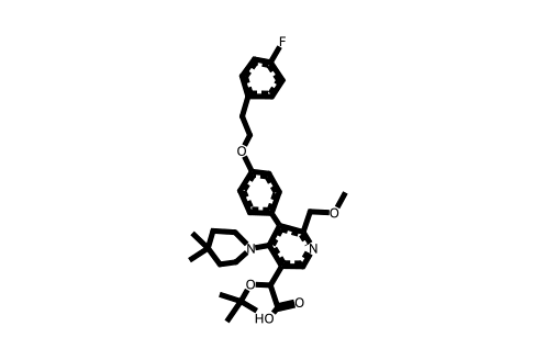 COCc1ncc(C(OC(C)(C)C)C(=O)O)c(N2CCC(C)(C)CC2)c1-c1ccc(OCCc2ccc(F)cc2)cc1